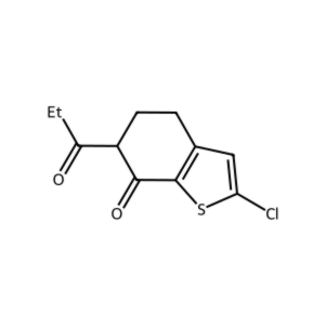 CCC(=O)C1CCc2cc(Cl)sc2C1=O